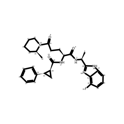 C[C@H](NC(=O)[C@H](CCC(=O)N1CCCC[C@@H]1C)NC(=O)[C@H]1C[C@@H]1c1ccccc1)c1nc2c(F)cccc2[nH]1